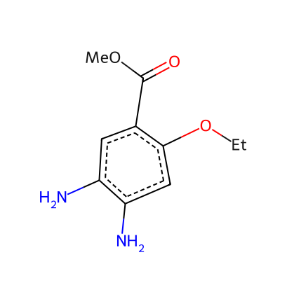 CCOc1cc(N)c(N)cc1C(=O)OC